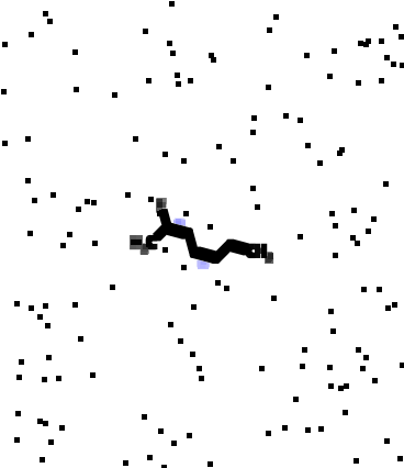 C=C/C=C\C=C(/C)F